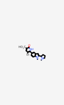 CCc1cc(C(=O)O)c(=O)[nH]c1-c1ccc2c(c1)cc(C1CCCN1C)n2C